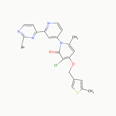 Cc1cc(COc2cc(C)n(-c3ccnc(-c4ccnc(C(C)C)n4)c3)c(=O)c2Cl)cs1